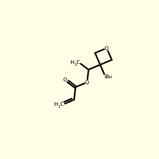 C=CC(=O)OC(C)C1(C(C)CC)COC1